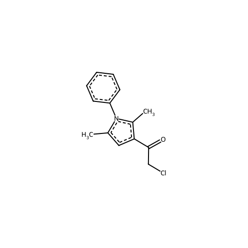 Cc1cc(C(=O)CCl)c(C)n1-c1ccccc1